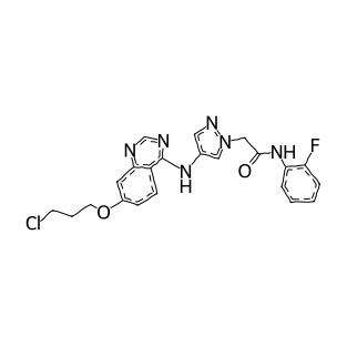 O=C(Cn1cc(Nc2ncnc3cc(OCCCCl)ccc23)cn1)Nc1ccccc1F